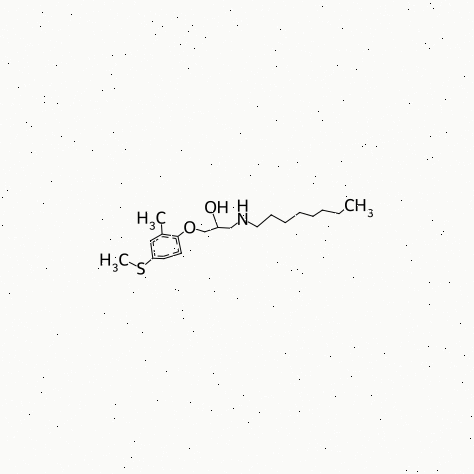 CCCCCCCCNCC(O)COc1ccc(SC)cc1C